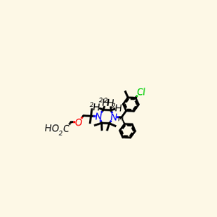 [2H]C1([2H])N([C@H](c2ccccc2)c2ccc(Cl)c(C)c2)C(C)(C)C(C)(C)N(C(C)(C)COCC(=O)O)C1([2H])[2H]